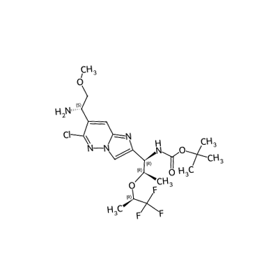 COC[C@@H](N)c1cc2nc([C@@H](NC(=O)OC(C)(C)C)[C@@H](C)O[C@H](C)C(F)(F)F)cn2nc1Cl